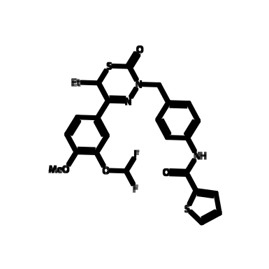 CCC1SC(=O)N(Cc2ccc(NC(=O)c3cccs3)cc2)N=C1c1ccc(OC)c(OC(F)F)c1